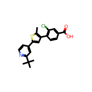 Cc1sc(-c2ccnc(C(C)(C)C)c2)cc1-c1ccc(C(=O)O)cc1Cl